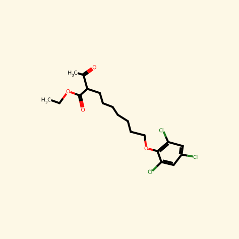 CCOC(=O)C(CCCCCCCOc1c(Cl)cc(Cl)cc1Cl)C(C)=O